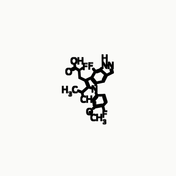 COc1cc(-n2c(C(C)C)c(C[C@H](F)C(=O)O)c3c(F)c4[nH]ncc4cc32)ccc1F